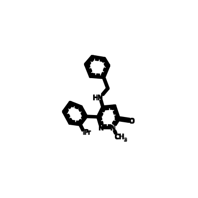 CC(C)c1ccccc1-c1nn(C)c(=O)cc1NCc1ccccc1